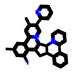 Cc1cc(I)c2c3c([n+]4cc(-c5ccccn5)c(C)cc4c2c1)C1C(C3)c2ccccc2-c2cccc[n+]21